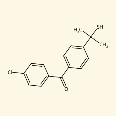 CC(C)(S)c1ccc(C(=O)c2ccc(Cl)cc2)cc1